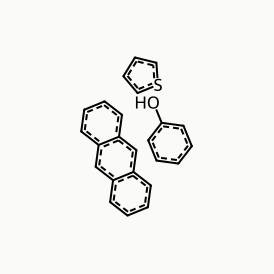 Oc1ccccc1.c1ccc2cc3ccccc3cc2c1.c1ccsc1